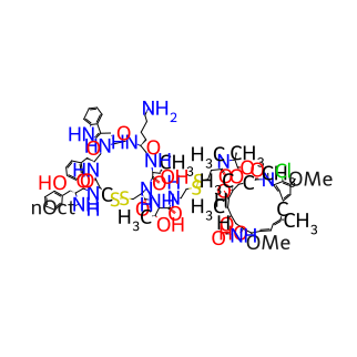 CCCCCCCCN[C@H](Cc1ccccc1)C(=O)N[C@H]1CSSC[C@@H](C(=O)N[C@H](C(=O)NCCSSCCC(=O)N(C)[C@@H](C)C(=O)O[C@H]2CC(=O)N(C)c3cc(cc(OC)c3Cl)C/C(C)=C/C=C/[C@@H](OC)[C@@]3(O)C[C@H](OC(=O)N3)[C@@H](C)[C@@H]3O[C@@]23C)[C@@H](C)O)NC(=O)[C@H]([C@@H](C)O)NC(=O)[C@H](CCCCN)NC(=O)[C@@H](Cc2c[nH]c3ccccc23)NC(=O)[C@H](Cc2ccc(O)cc2)NC1=O